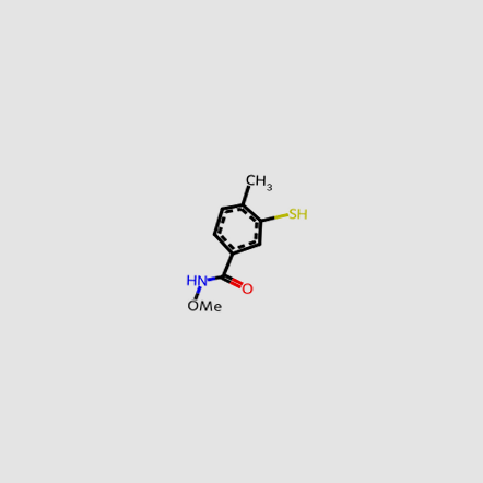 CONC(=O)c1ccc(C)c(S)c1